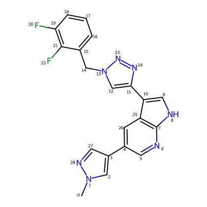 Cn1cc(-c2cnc3[nH]cc(-c4cn(Cc5cccc(F)c5F)nn4)c3c2)cn1